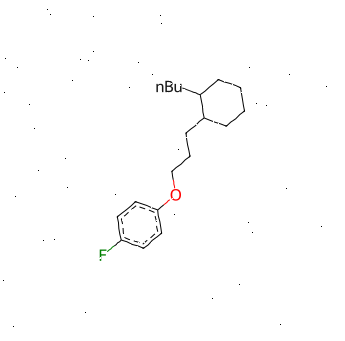 CCCCC1CCCCC1CCCOc1ccc(F)cc1